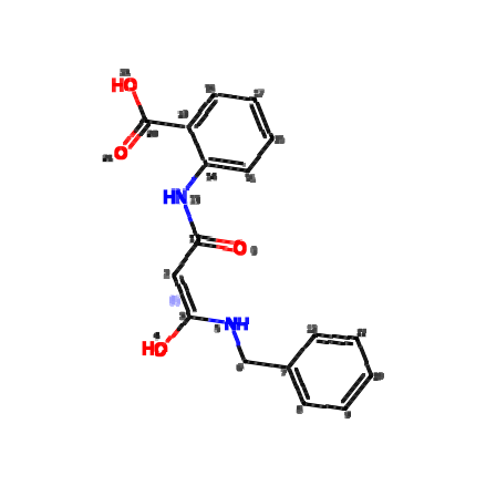 O=C(/C=C(/O)NCc1ccccc1)Nc1ccccc1C(=O)O